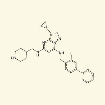 Fc1cc(-c2ccccn2)ccc1CNc1cc(NCC2CCNCC2)nc2c(C3CC3)cnn12